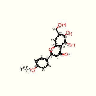 COc1ccc(-c2cc(=O)c3c(O)c(O)c(CO)cc3o2)cc1